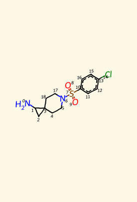 NC1CC12CCN(S(=O)(=O)c1ccc(Cl)cc1)CC2